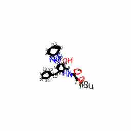 CCCCOCC(=O)NCc1cc(Cc2ccccc2)cc(-n2nc3ccccc3n2)c1O